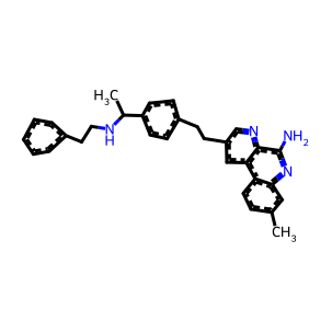 Cc1ccc2c(c1)nc(N)c1ncc(CCc3ccc(C(C)NCCc4ccccc4)cc3)cc12